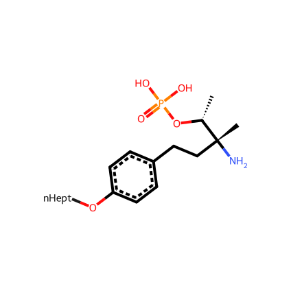 CCCCCCCOc1ccc(CC[C@@](C)(N)[C@@H](C)OP(=O)(O)O)cc1